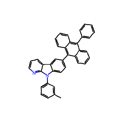 Cc1cccc(-n2c3ccc(-c4c5ccccc5c(-c5ccccc5)c5ccccc45)cc3c3cccnc32)c1